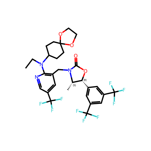 CCN(c1ncc(C(F)(F)F)cc1CN1C(=O)O[C@H](c2cc(C(F)(F)F)cc(C(F)(F)F)c2)[C@@H]1C)C1CCC2(CC1)OCCO2